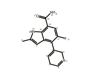 Cc1cc2c(C3=CCC=NC3)c(F)cc(C(N)=O)c2[nH]1